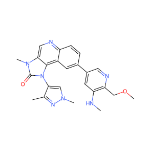 CNc1cc(-c2ccc3ncc4c(c3c2)n(-c2cn(C)nc2C)c(=O)n4C)cnc1COC